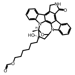 C[C@@]12OC(C[C@@]1(O)CCCCCCOC=O)n1c3ccccc3c3c4c(c5c6ccccc6n2c5c31)CNC4=O